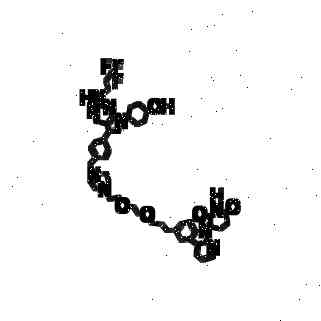 O=C1CC[C@H](n2c3ccc(CCCOCCOCCN4CCN(Cc5ccc(-c6cn([C@H]7CC[C@H](O)CC7)c7nc(NCCC(F)(F)F)ncc67)cc5)CC4)cc3c3cccnc32)C(=O)N1